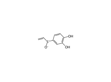 C=C[S+]([O-])c1ccc(O)c(O)c1